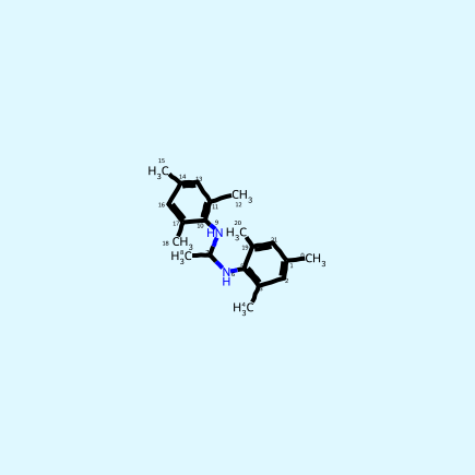 Cc1cc(C)c(NC(C)Nc2c(C)cc(C)cc2C)c(C)c1